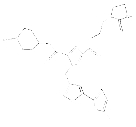 CC(C)N1CCC(NC(=O)c2cc(C(=O)OCCN3CCNC3=O)nn2Cc2cc(-c3ccc(Cl)s3)on2)CC1